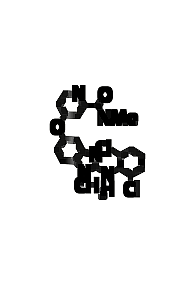 CNC(=O)c1cc(Oc2ccc3c(c2)nc(Nc2c(Cl)cccc2Cl)n3C)ccn1